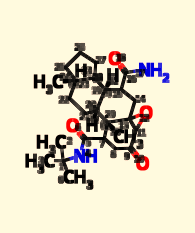 CC(C)(C)NC(=O)C1CC(=O)C2OC23CC(C(N)=O)[C@@H]2[C@@H](CC[C@]4(C)CCC[C@@H]24)[C@@]13C